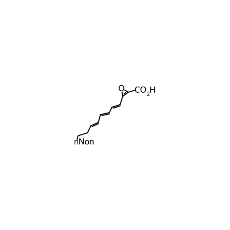 CCCCCCCCCCCC=CC=CC=CC1=C(C(=O)O)O1